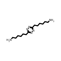 NCCCCCCc1nnc(CCCCCCN)nn1